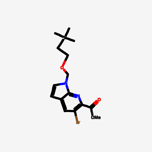 COC(=O)c1nc2c(ccn2COCC[Si](C)(C)C)cc1Br